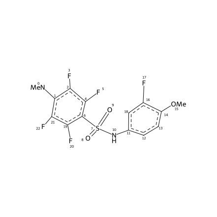 CNc1c(F)c(F)c(S(=O)(=O)Nc2ccc(OC)c(F)c2)c(F)c1F